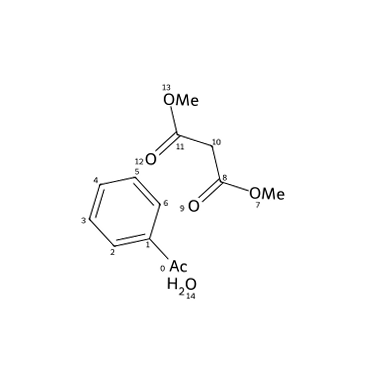 CC(=O)c1ccccc1.COC(=O)CC(=O)OC.O